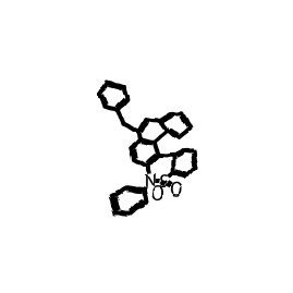 O=S1(=O)c2ccccc2-c2c(ccc3c(Cc4ccccc4)cc4ccccc4c23)N1c1ccccc1